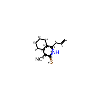 C=CCc1[nH]c(=S)c(C#N)c2c1CCCC2